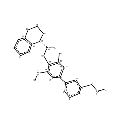 COCc1cccc(-c2nc(C)c(CN(C)[C@H]3CCCc4ccccc43)c(OC)n2)c1